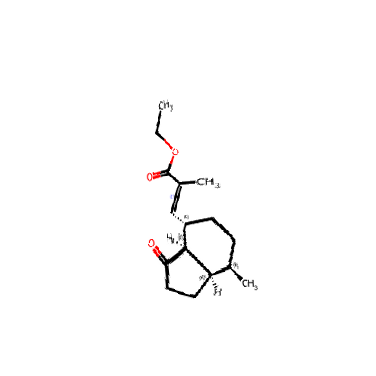 CCOC(=O)/C(C)=C/[C@@H]1CC[C@@H](C)[C@H]2CCC(=O)[C@H]21